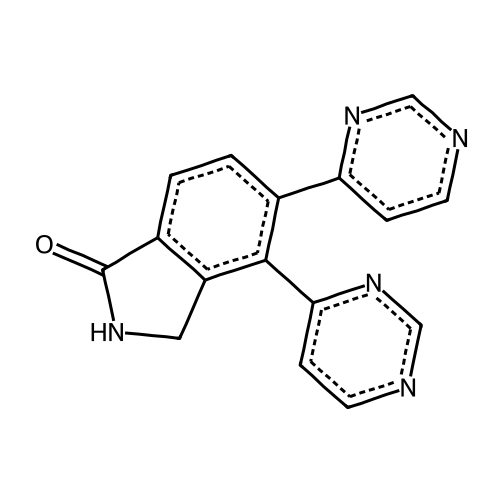 O=C1NCc2c1ccc(-c1ccncn1)c2-c1ccncn1